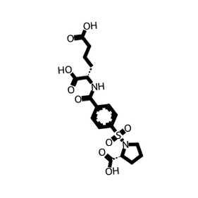 O=C(O)CCC[C@H](NC(=O)c1ccc(S(=O)(=O)N2CCC[C@@H]2C(=O)O)cc1)C(=O)O